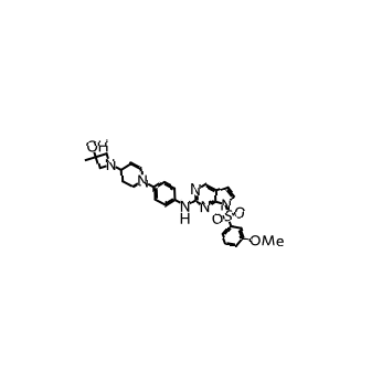 COc1cccc(S(=O)(=O)n2ccc3cnc(Nc4ccc(N5CCC(N6CC(C)(O)C6)CC5)cc4)nc32)c1